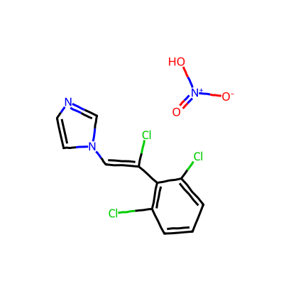 Cl/C(=C\n1ccnc1)c1c(Cl)cccc1Cl.O=[N+]([O-])O